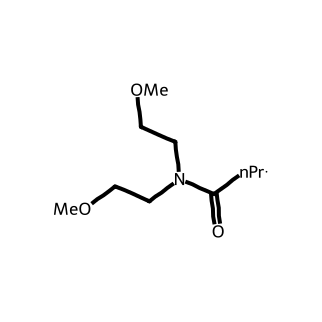 CC[CH]C(=O)N(CCOC)CCOC